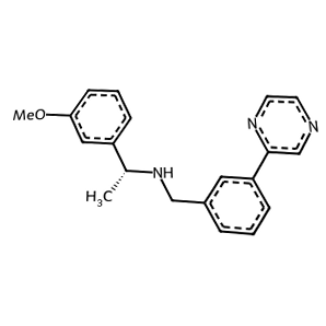 COc1cccc([C@@H](C)NCc2cccc(-c3cnccn3)c2)c1